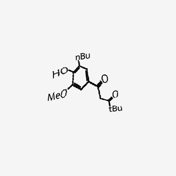 CCCCc1cc(C(=O)CC(=O)C(C)(C)C)cc(OC)c1O